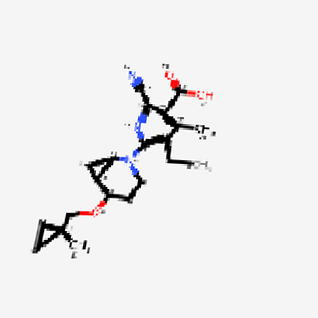 CCc1c(N2CCC(OCC3(C)CC3)C3CC32)nc(C#N)c(C(=O)O)c1C